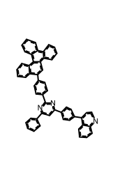 c1ccc(-c2cc(-c3ccc(-c4ccnc5ccccc45)cc3)nc(-c3ccc(-c4cc5c6ccccc6c6ccccc6c5c5ccccc45)cc3)n2)cc1